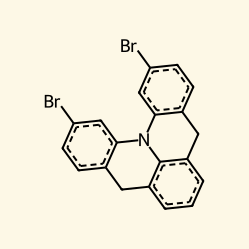 Brc1ccc2c(c1)N1c3cc(Br)ccc3Cc3cccc(c31)C2